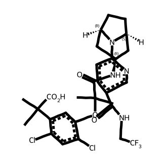 CC(C)(Oc1cc(C(C)(C)C(=O)O)c(Cl)cc1Cl)C(=O)N[C@H]1C[C@H]2CC[C@@H](C1)N2c1ccc(C(=O)NCC(F)(F)F)cn1